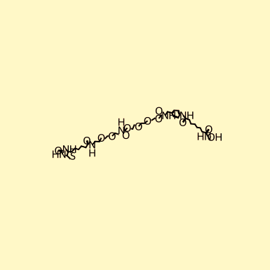 O=C(CCCCCCC(=O)Nc1ccc(CNC(=O)OCCOCCOCCOC(=O)NCCOCCOCCNC(=O)CCCCC2SCC3NC(=O)NC32)cc1)NO